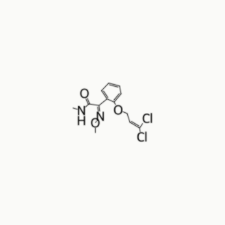 CNC(=O)C(=NOC)c1ccccc1OCC=C(Cl)Cl